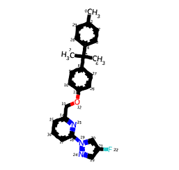 Cc1ccc(C(C)(C)c2ccc(OCc3cccc(-n4cc(F)cn4)n3)cc2)cc1